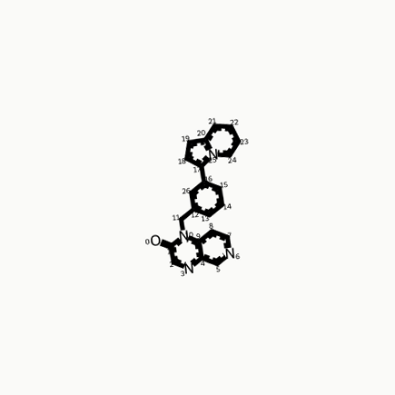 O=c1cnc2cnccc2n1Cc1cccc(-c2ccc3ccccn23)c1